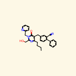 CCCCc1nc(CO)n(Cc2ccccn2)c(=O)c1Cc1ccc(-c2ccccc2)c(C#N)c1